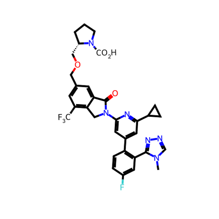 Cn1cnnc1-c1cc(F)ccc1-c1cc(C2CC2)nc(N2Cc3c(cc(COC[C@@H]4CCCN4C(=O)O)cc3C(F)(F)F)C2=O)c1